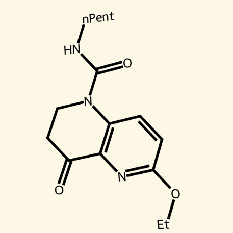 CCCCCNC(=O)N1CCC(=O)c2nc(OCC)ccc21